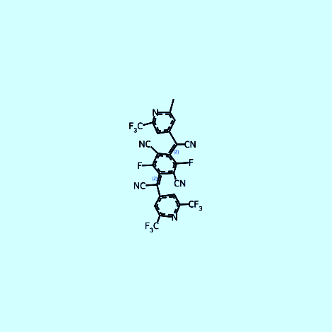 Cc1cc(/C(C#N)=c2/c(F)c(C#N)/c(=C(/C#N)c3cc(C(F)(F)F)nc(C(F)(F)F)c3)c(F)c2C#N)cc(C(F)(F)F)n1